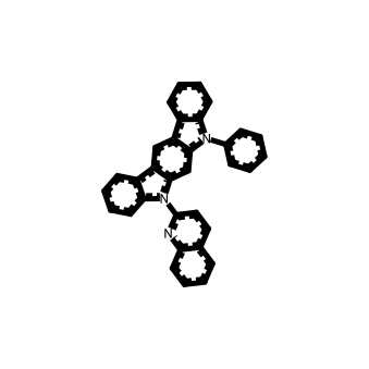 c1ccc(-n2c3ccccc3c3cc4c5ccccc5n(-c5ccc6ccccc6n5)c4cc32)cc1